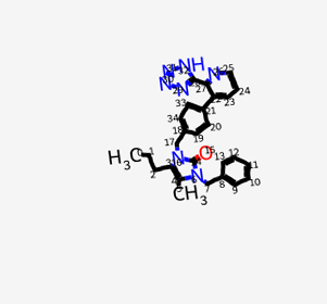 CCCc1c(C)n(Cc2ccccc2)c(=O)n1Cc1ccc(-c2cccnc2-c2nnn[nH]2)cc1